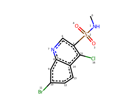 CNS(=O)(=O)c1cnc2cc(Br)ccc2c1Cl